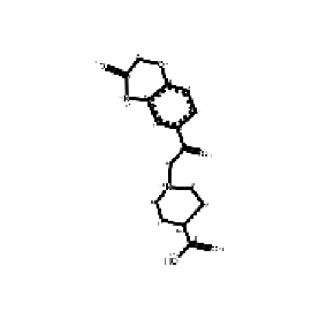 O=C1COc2ccc(C(=O)CN3CCC(C(=O)O)CC3)cc2N1